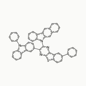 c1ccc(-c2ccc3sc4nc(-c5ccc6c(c5)c5ccccc5n6-c5ccccc5)c(-n5c6ccccc6c6cc7ccccc7cc65)nc4c3c2)cc1